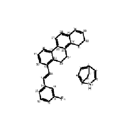 C1=CC2=CC=C(CC2)N1.Fc1cccc(/C=C/c2cccc3c2CCc2c-3ccc3c2CCC=C3)c1